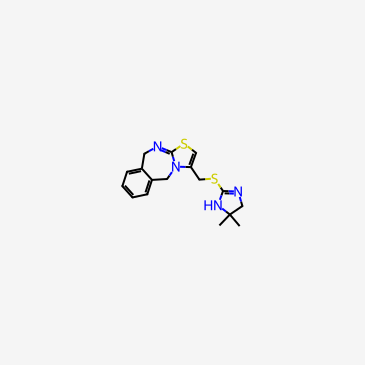 CC1(C)CN=C(SCC2=CSC3=NCc4ccccc4CN23)N1